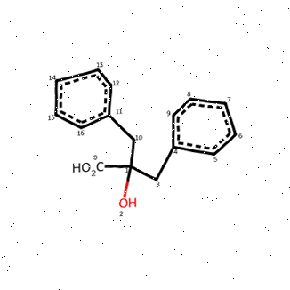 O=C(O)C(O)(Cc1ccccc1)Cc1ccccc1